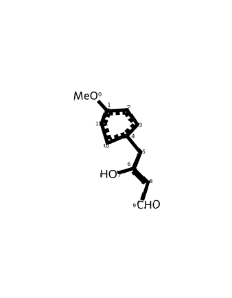 COc1ccc(CC(O)=CC=O)cc1